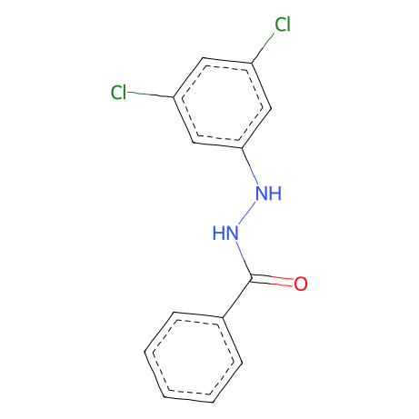 O=C(NNc1cc(Cl)cc(Cl)c1)c1ccccc1